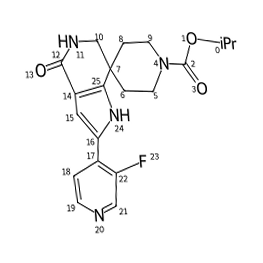 CC(C)OC(=O)N1CCC2(CC1)CNC(=O)c1cc(-c3ccncc3F)[nH]c12